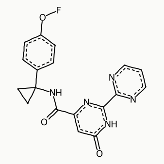 O=C(NC1(c2ccc(OF)cc2)CC1)c1cc(=O)[nH]c(-c2ncccn2)n1